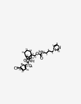 O=C(NCCCn1ccnc1)OCC12CCCC(CC1)C2NS(=O)(=O)c1ccc(Cl)s1